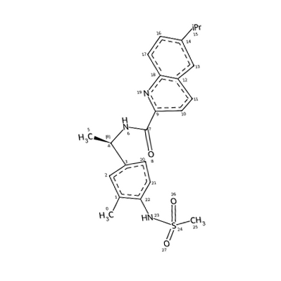 Cc1cc([C@@H](C)NC(=O)c2ccc3cc(C(C)C)ccc3n2)ccc1NS(C)(=O)=O